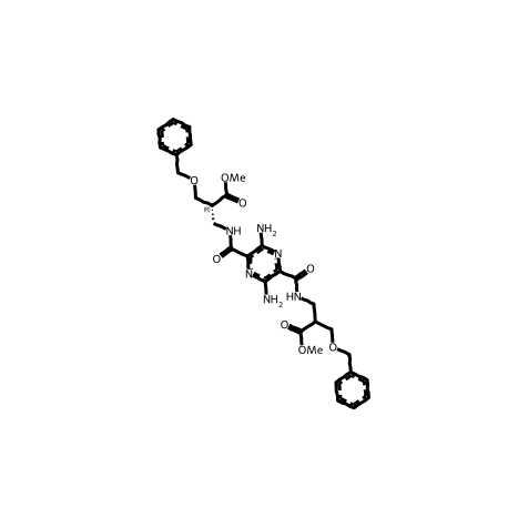 COC(=O)C(CNC(=O)c1nc(N)c(C(=O)NC[C@H](COCc2ccccc2)C(=O)OC)nc1N)COCc1ccccc1